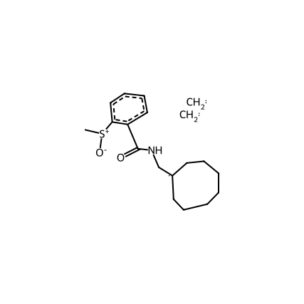 C[S+]([O-])c1ccccc1C(=O)NC[C]1CCCCCCC1.[CH2].[CH2]